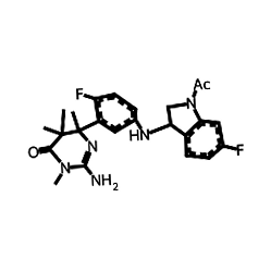 CC(=O)N1CC(Nc2ccc(F)c(C3(C)N=C(N)N(C)C(=O)C3(C)C)c2)c2ccc(F)cc21